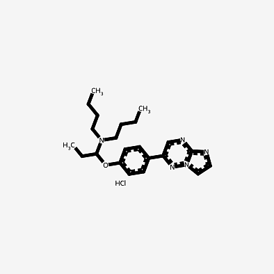 CCCCN(CCCC)C(CC)Oc1ccc(-c2cnc3nccn3n2)cc1.Cl